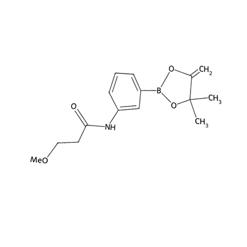 C=C1OB(c2cccc(NC(=O)CCOC)c2)OC1(C)C